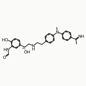 CC(=N)c1ccc(N(C)c2ccc(CCNC[C@H](O)c3ccc(O)c(NC=O)c3)cc2)cc1